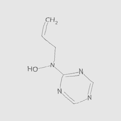 C=CCN(O)c1ncncn1